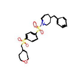 O=S(=O)(CC1CCOCC1)c1ccc(S(=O)(=O)N2CCCC(Cc3ccccc3)CC2)cc1